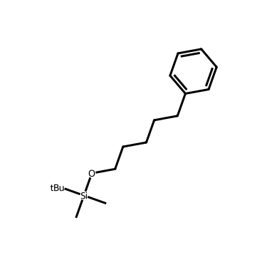 CC(C)(C)[Si](C)(C)OCCCCCc1ccccc1